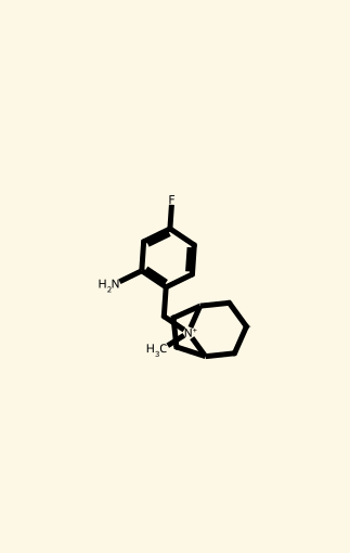 C[N+]1(Cc2ccc(F)cc2N)C2C[CH]CC1CC2